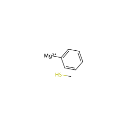 CS.[Mg+2][c]1ccccc1